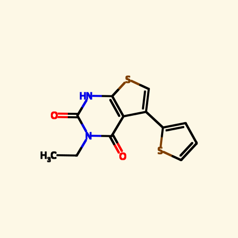 CCn1c(=O)[nH]c2scc(-c3cccs3)c2c1=O